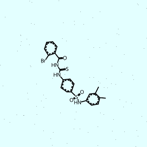 Cc1ccc(NS(=O)(=O)c2ccc(NC(=S)NC(=O)c3ccccc3Br)cc2)cc1C